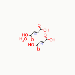 O.O=C(O)/C=C/C(=O)O.O=C(O)/C=C/C(=O)O